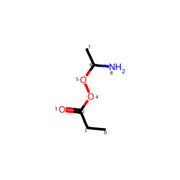 CCC(=O)OOC(C)N